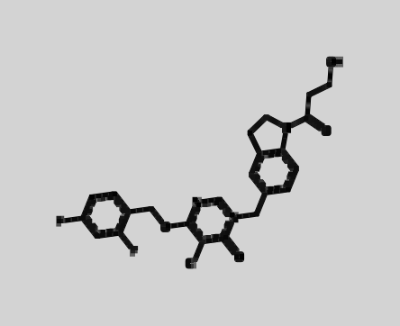 O=C(CCO)N1CCc2cc(Cn3cnc(OCc4ccc(F)cc4F)c(Cl)c3=O)ccc21